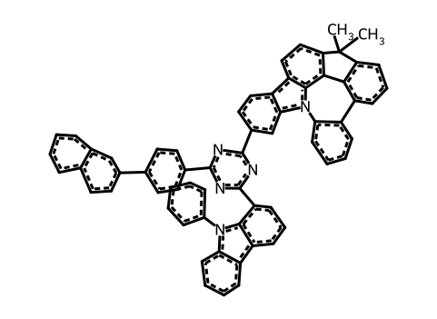 CC1(C)c2cccc3c2-c2c1ccc1c4ccc(-c5nc(-c6ccc(-c7ccc8ccccc8c7)cc6)nc(-c6cccc7c8ccccc8n(-c8ccccc8)c67)n5)cc4n(c21)-c1ccccc1-3